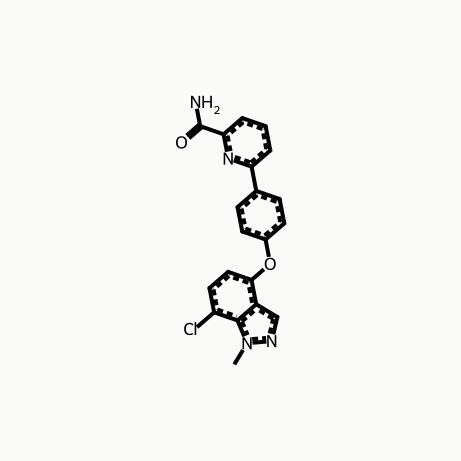 Cn1ncc2c(Oc3ccc(-c4cccc(C(N)=O)n4)cc3)ccc(Cl)c21